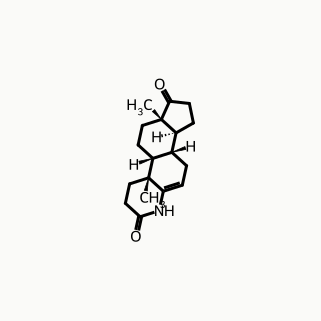 C[C@]12CCC(=O)NC1=CC[C@@H]1[C@H]2CC[C@]2(C)C(=O)CC[C@@H]12